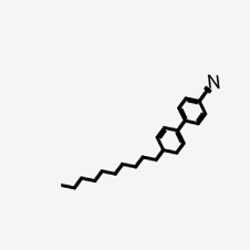 CCCCCCCCCCC1C=CC(c2ccc(C#N)cc2)=CC1